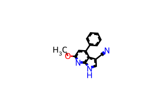 COc1cc(-c2ccccc2)c2c(C#N)c[nH]c2n1